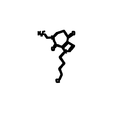 CCN1CCC(=O)c2ccn(CCCCCl)c2C1=O